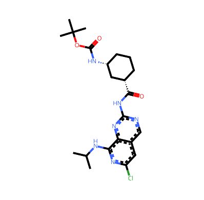 CC(C)Nc1nc(Cl)cc2cnc(NC(=O)[C@H]3CCC[C@@H](NC(=O)OC(C)(C)C)C3)nc12